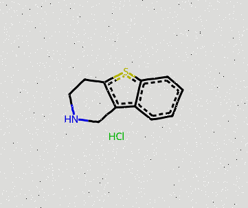 Cl.c1ccc2c3c(sc2c1)CCNC3